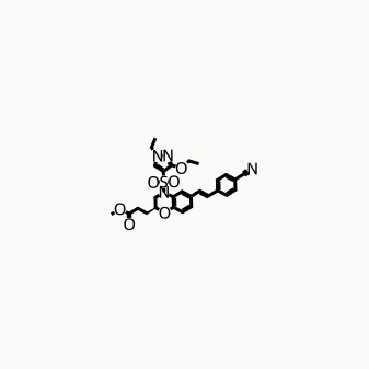 CCOc1nn(CC)cc1S(=O)(=O)N1C[C@H](CCC(=O)OC)Oc2ccc(/C=C/c3ccc(C#N)cc3)cc21